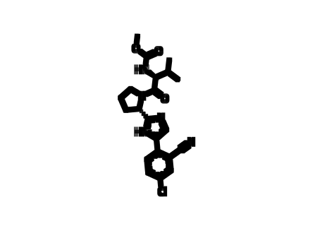 COC(=O)N[C@H](C(=O)N1CCC[C@H]1c1ncc(-c2ccc(Cl)cc2C#N)[nH]1)C(C)C